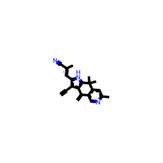 C#Cc1c(/C=C(\C)C#N)[nH]c2c1C(=C)c1cnc(C)cc1C2(C)C